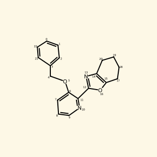 c1ccc(COc2cccnc2-c2nc3c(o2)CCCC3)cc1